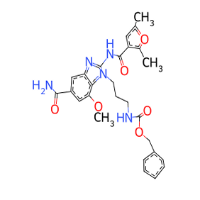 COc1cc(C(N)=O)cc2nc(NC(=O)c3cc(C)oc3C)n(CCCNC(=O)OCc3ccccc3)c12